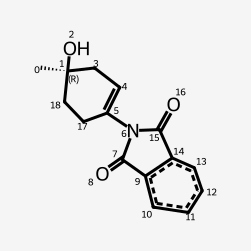 C[C@]1(O)CC=C(N2C(=O)c3ccccc3C2=O)CC1